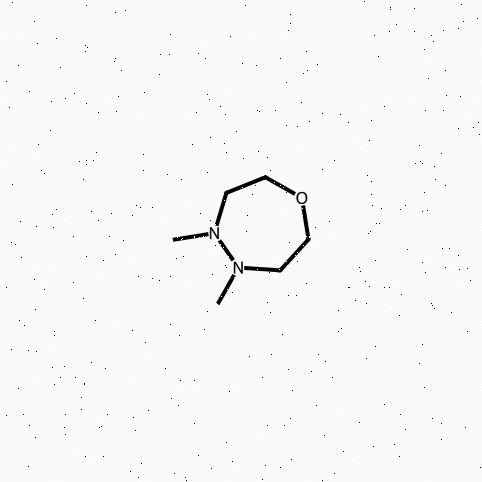 CN1CCOCCN1C